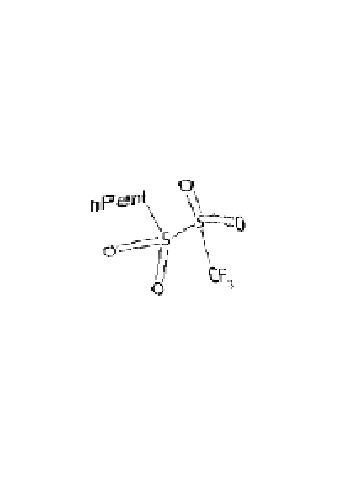 CCCCCS(=O)(=O)S(=O)(=O)C(F)(F)F